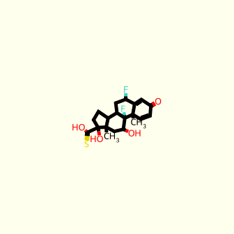 CC12C=CC(=O)C=C1C(F)CC1C3CCC(O)(C(O)=S)C3(C)CC(O)C12F